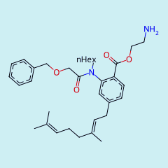 CCCCCCN(C(=O)COCc1ccccc1)c1cc(C/C=C(\C)CCC=C(C)C)ccc1C(=O)OCCN